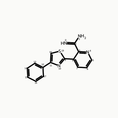 N=C(N)c1ncccc1-c1nc(-c2ccccc2)cs1